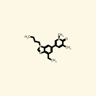 CCCCn1cnc2c(CC)cc(-c3cc(C)c(=O)n(C)c3)cc21